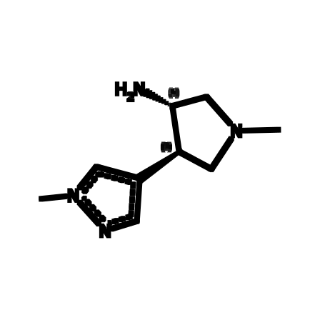 CN1C[C@@H](N)[C@H](c2cnn(C)c2)C1